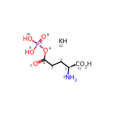 N[C@@H](CCC(=O)OP(=O)(O)O)C(=O)O.[KH]